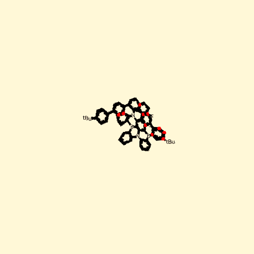 CC(C)(C)c1ccc(-c2ccc(-c3cccc(-c4ccc(-c5ccc(C(C)(C)C)cc5)cc4)c3N3c4ccccc4B4c5ccccc5N5c6ccccc6B6c7ccccc7Sc7c6c5c4c3c7-c3c(F)cccc3F)cc2)cc1